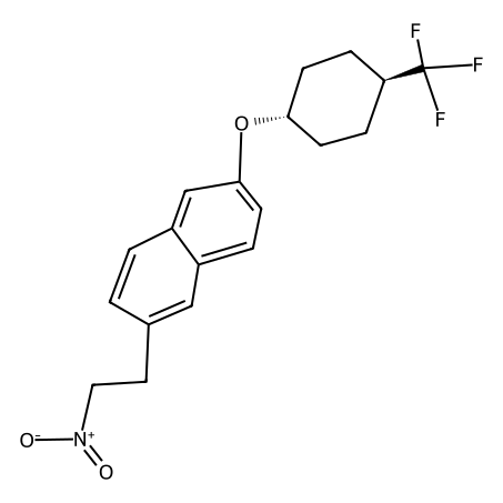 O=[N+]([O-])CCc1ccc2cc(O[C@H]3CC[C@H](C(F)(F)F)CC3)ccc2c1